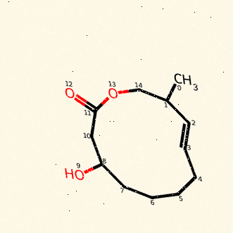 CC1/C=C/CCCCC(O)CC(=O)OC1